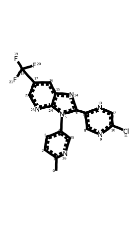 Cc1ccc(-n2c(-c3cnc(Cl)cn3)nc3cc(C(F)(F)F)cnc32)cn1